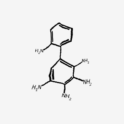 Nc1ccccc1-c1cc(N)c(N)c(N)c1N